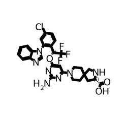 Nc1nc(O[C@H](c2ccc(Cl)cc2-n2cnc3ccccc32)C(F)(F)F)cc(N2CCC3(CC2)CN[C@H](C(=O)O)C3)n1